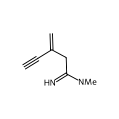 C#CC(=C)CC(=N)NC